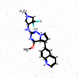 COc1nc(NC2CN(C)CC2(F)F)nn2ccc(-c3ccc4ncccc4c3)c12